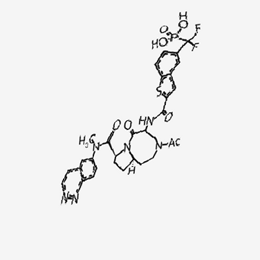 CC(=O)N1CC[C@H]2CC[C@@H](C(=O)N(C)c3ccc4nnccc4c3)N2C(=O)C(NC(=O)c2cc3cc(C(F)(F)P(=O)(O)O)ccc3s2)C1